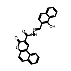 O=C(N/N=C/c1ccc2ccccc2c1O)c1cc2c(ccc3ccccc32)oc1=O